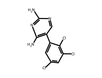 Nc1ncc(-c2cc(Cl)cc(Cl)c2Cl)c(N)n1